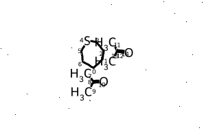 C1CCCSCC1.CC(C)=O.CC(C)=O